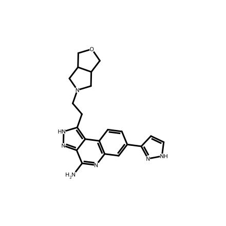 Nc1nc2cc(-c3cc[nH]n3)ccc2c2c(CCN3CC4COCC4C3)[nH]nc12